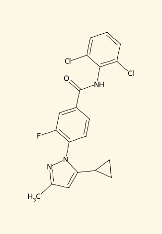 Cc1cc(C2CC2)n(-c2ccc(C(=O)Nc3c(Cl)cccc3Cl)cc2F)n1